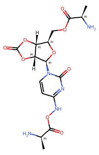 C[C@@H](N)C(=O)OC[C@H]1O[C@@H](n2ccc(NOC(=O)[C@@H](C)N)nc2=O)[C@@H]2OC(=O)O[C@@H]21